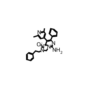 Cc1cc(C2=C(c3ccccc3)N=C(N)N3CN(CCc4ccccc4)[N+]([O-])=C23)cc(C)n1